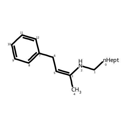 CCCCCCCCNC(C)=CCc1ccccc1